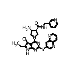 CCc1[nH]c2nc(Sc3cnc4cccnc4c3)nc(N3C[C@@H](N)[C@@H](C(=O)NCc4cccnc4)C3)c2c1Cl